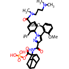 COc1cccc(OC)c1-c1cc(C(=O)NC2(C(=O)OP(=O)(O)O)C3CC4CC(C3)CC2C4)nn1-c1ccc(C(=O)N(C)CCCN(C)C)cc1C(C)C